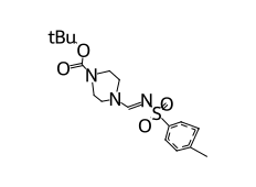 Cc1ccc(S(=O)(=O)/N=C/N2CCN(C(=O)OC(C)(C)C)CC2)cc1